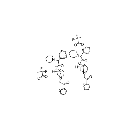 O=C(C[N+]12CCC(CC1)[C@@H](OC(=O)C(c1ccccc1)N1CCCCC1)C2)c1cccs1.O=C(C[N+]12CCC(CC1)[C@@H](OC(=O)C(c1ccccc1)N1CCCCC1)C2)c1cccs1.O=C([O-])C(F)(F)F.O=C([O-])C(F)(F)F